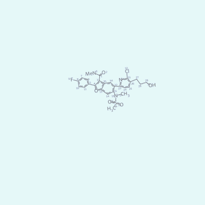 CNC(=O)c1c(-c2ccc(F)cc2)oc2cc(N(C)S(C)(=O)=O)c(-c3ccc(CCCO)c(Cl)n3)cc12